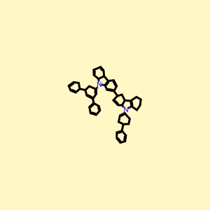 C1=CCC(C2C=C(c3ccccc3)C=C(N3c4cc(C5C=CC6C(C5)C5=C(CCCC5)N6C5=CCC(c6ccccc6)CC5)ccc4C4C=CC=CC43)C2)C=C1